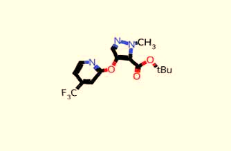 Cn1ncc(Oc2cc(C(F)(F)F)ccn2)c1C(=O)OC(C)(C)C